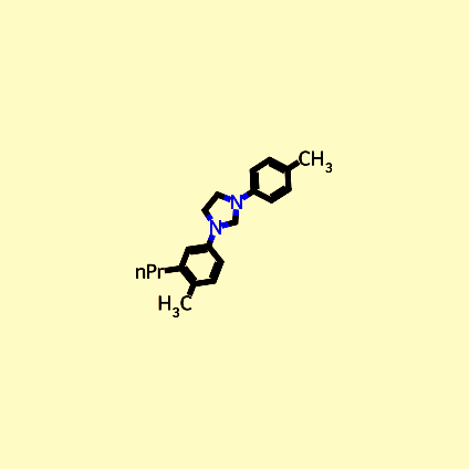 CCCc1cc(N2CCN(c3ccc(C)cc3)C2)ccc1C